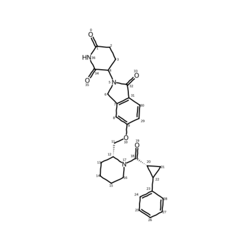 O=C1CCC(N2Cc3cc(OC[C@H]4CCCCN4C(=O)[C@@H]4CC4c4ccccc4)ccc3C2=O)C(=O)N1